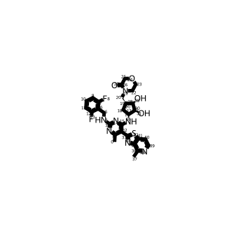 Cc1nc(NCc2c(F)cccc2F)nc(N[C@@H]2C[C@H](CN3CCOCC3=O)[C@@H](O)[C@H]2O)c1-c1nc2c(C)nccc2s1